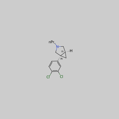 CCCN1C[C@H]2C[C@@]2(c2ccc(Cl)c(Cl)c2)C1